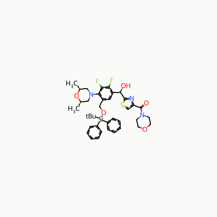 C[C@@H]1CN(c2c(CO[Si](c3ccccc3)(c3ccccc3)C(C)(C)C)cc(C(O)c3nc(C(=O)N4CCOCC4)cs3)c(F)c2F)C[C@H](C)O1